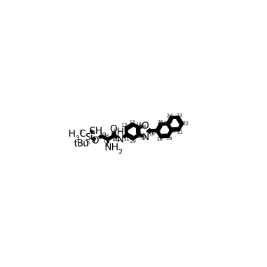 CC(C)(C)[Si](C)(C)OC[C@H](N)C(=O)Nc1ccc2oc(-c3ccc4ccccc4c3)nc2c1